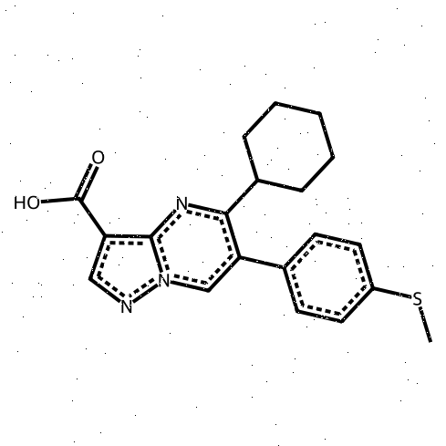 CSc1ccc(-c2cn3ncc(C(=O)O)c3nc2C2CCCCC2)cc1